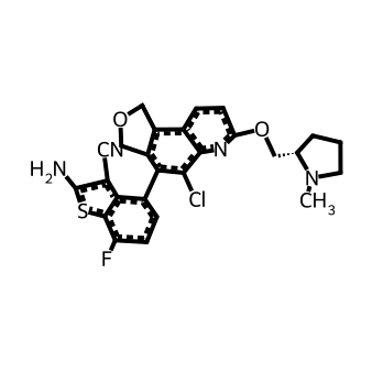 CN1CCC[C@H]1COc1ccc2c3c(c(-c4ccc(F)c5sc(N)c(C#N)c45)c(Cl)c2n1)COC3